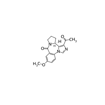 COc1ccc2c(c1)C(=O)N1CCC[C@H]1c1c(C(C)=O)ncn1-2